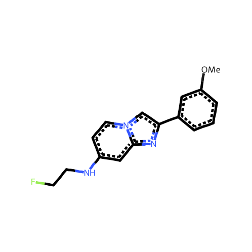 COc1cccc(-c2cn3ccc(NCCF)cc3n2)c1